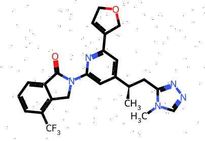 C[C@H](Cc1nncn1C)c1cc(C2=CCOC2)nc(N2Cc3c(cccc3C(F)(F)F)C2=O)c1